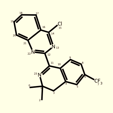 CC1(C)Cc2cc(C(F)(F)F)ccc2C(c2nc(Cl)c3ccccc3n2)=N1